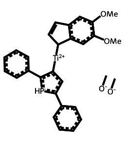 COc1cc2c(cc1OC)[CH]([Ti+2][c]1cc(-c3ccccc3)[pH]c1-c1ccccc1)C=C2.C[O-].C[O-]